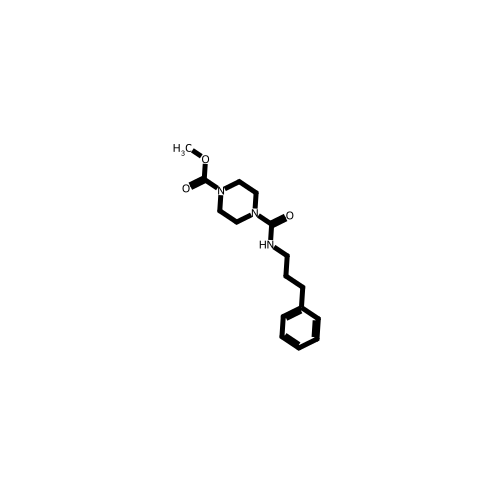 COC(=O)N1CCN(C(=O)NCCCc2ccccc2)CC1